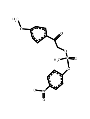 COc1ccc(C(=O)COP(C)(=O)Oc2ccc([N+](=O)[O-])cc2)cc1